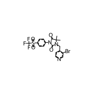 CC1(C)C(=O)N(c2ccc(S(=O)(=O)C(F)(F)F)cc2)C(=O)N1Cc1ccncc1Br